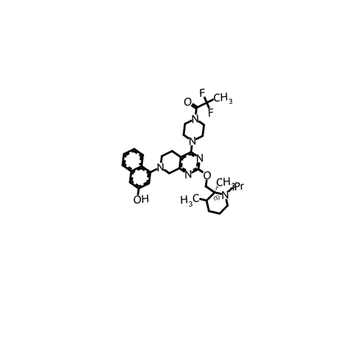 CC(C)N1CCCC(C)[C@@]1(C)COc1nc2c(c(N3CCN(C(=O)C(C)(F)F)CC3)n1)CCN(c1cc(O)cc3ccccc13)C2